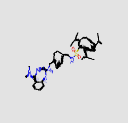 C=C(/N=C1/C=CC=C/C1=C(/N)N(C)C)NCc1ccc(CNS(=O)(=O)c2c(C(C)C)cc(C(C)C)cc2C(C)C)cc1